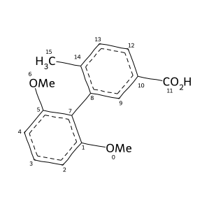 COc1cccc(OC)c1-c1cc(C(=O)O)ccc1C